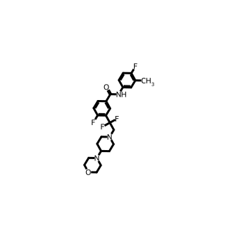 Cc1cc(NC(=O)c2ccc(F)c(C(F)(F)CN3CCC(N4CCOCC4)CC3)c2)ccc1F